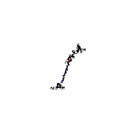 CC(=O)OC1CC(C)(C)C(=C=C/C=C/C=C/C(C)=C/C=C/C=C(C)/C=C/C=C(\C)C(=O)CC23OC2(C)CC(OC(=O)CCC(=O)OC[C@H](O)[C@H]2OC(=O)C=C2O)CC3(C)C)[C@@](C)(O)C1